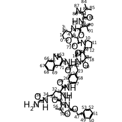 CC[C@H](C)C([C@@H](CC(=O)N1CCC[C@H]1[C@H](OC)[C@@H](C)C(=O)NC(Cc1ccc(NC(=O)C(CCCNC(N)=O)NC(=O)[C@H](NC(=O)OCc2ccccc2)C(C)C)cc1)C(=O)Nc1cnc2ccccc2c1)OC)N(C)C(=O)C(NC(=O)[C@H](C(C)C)N(C)C)C(C)C